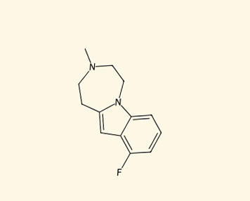 CN1CCc2cc3c(F)cccc3n2CC1